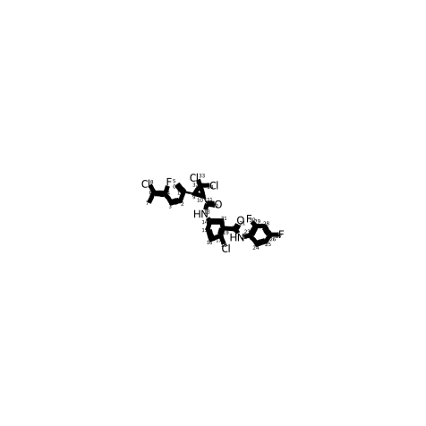 C=C(/C=C\C(F)=C(/C)Cl)[C@@H]1[C@@H](C(=O)Nc2ccc(Cl)c(C(=O)Nc3ccc(F)cc3F)c2)C1(Cl)Cl